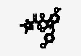 COc1ccc2c(c1)c(C(=O)C(=O)Nc1nc(C)c(C)s1)c(Cl)n2Cc1ccc(Cl)cc1